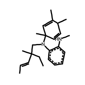 CC=CC(C)(CC)CN(c1ccccc1NC)C1(C)C=CC(C)C(C)=C1